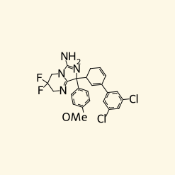 COc1ccc(C2(C3C=C(c4cc(Cl)cc(Cl)c4)C=CC3)N=C(N)N3CC(F)(F)CN=C32)cc1